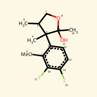 COc1c(C2(C)C(C)COC2(C)O)ccc(F)c1F